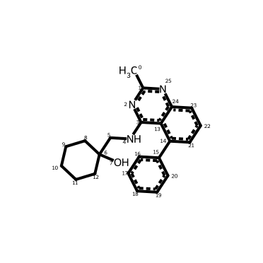 Cc1nc(NCC2(O)CCCCC2)c2c(-c3ccccc3)cccc2n1